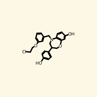 Oc1ccc(C2COc3cc(O)ccc3N(Cc3cccc(OCCCl)c3)C2)cc1